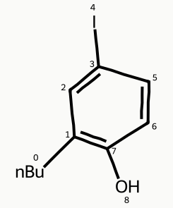 CCCCc1cc(I)ccc1O